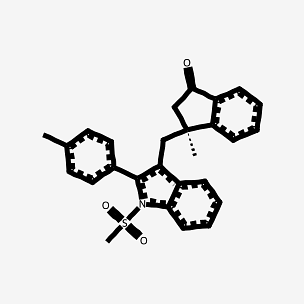 Cc1ccc(-c2c(C[C@@]3(C)CC(=O)c4ccccc43)c3ccccc3n2S(C)(=O)=O)cc1